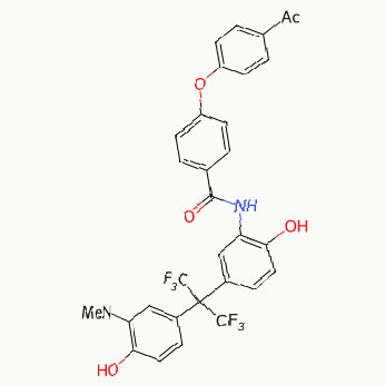 CNc1cc(C(c2ccc(O)c(NC(=O)c3ccc(Oc4ccc(C(C)=O)cc4)cc3)c2)(C(F)(F)F)C(F)(F)F)ccc1O